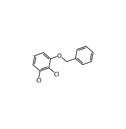 Clc1c[c]cc(OCc2ccccc2)c1Cl